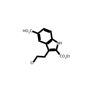 CCOC(=O)c1[nH]c2ccc(C(=O)O)cc2c1CCCl